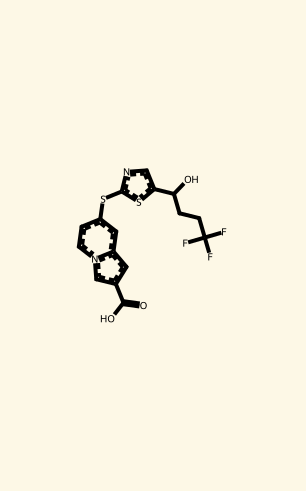 O=C(O)c1cc2cc(Sc3ncc(C(O)CCC(F)(F)F)s3)ccn2c1